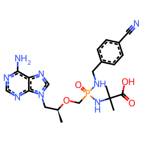 C[C@@H](Cn1cnc2c(N)ncnc21)OCP(=O)(NCc1ccc(C#N)cc1)NC(C)(C)C(=O)O